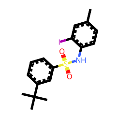 Cc1ccc(NS(=O)(=O)c2cccc(C(C)(C)C)c2)c(I)c1